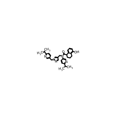 CC(C)c1ccc(Cn2cc(CN(C(=O)C3CCCc4c(O)cccc43)c3ccc(C(C)C)nc3)cn2)cn1